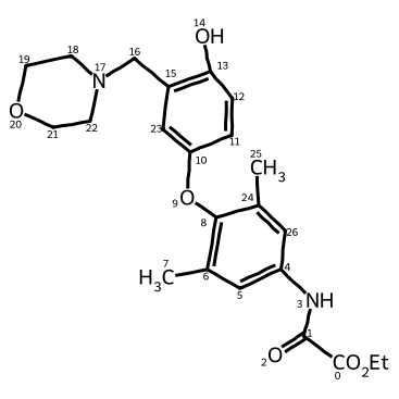 CCOC(=O)C(=O)Nc1cc(C)c(Oc2ccc(O)c(CN3CCOCC3)c2)c(C)c1